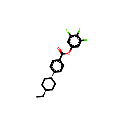 CC[C@H]1CC[C@H](c2ccc(C(=O)Oc3cc(F)c(F)c(F)c3)cc2)CC1